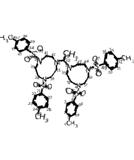 Cc1ccc(S(=O)(=O)N2CCN(C(C)N3CCN(S(=O)(=O)c4ccc(C)cc4)CCN(S(=O)(=O)c4ccc(C)cc4)CC3)CCN(S(=O)(=O)c3ccc(C)cc3)CC2)cc1